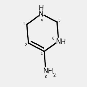 NC1=CCNCN1